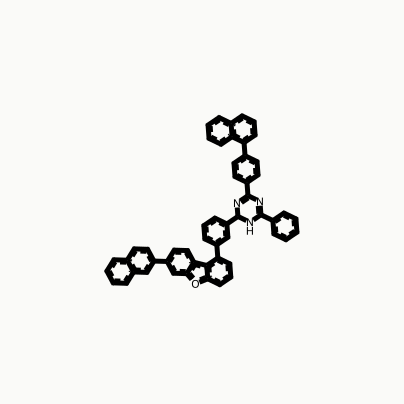 c1ccc(C2=NC(c3ccc(-c4cccc5ccccc45)cc3)=NC(c3cccc(-c4cccc5oc6cc(-c7ccc8ccccc8c7)ccc6c45)c3)N2)cc1